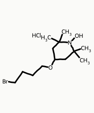 CC1(C)CC(OCCCCBr)CC(C)(C)N1O.Cl